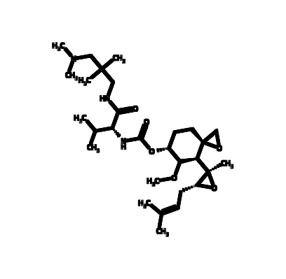 COC1[C@H](OC(=O)N[C@@H](C(=O)NCC(C)(C)CN(C)C)C(C)C)CC[C@]2(CO2)[C@H]1[C@@]1(C)O[C@@H]1CC=C(C)C